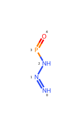 N=NNP=O